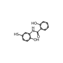 O=C(Nc1cc(S)ccc1O)c1ccccc1O